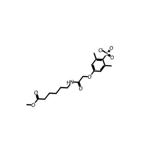 COC(=O)CCCCCNC(=O)COc1cc(C)c(S(=O)(=O)Cl)c(C)c1